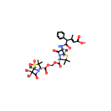 COC(=O)C=C(C)C(C(=O)N[C@@H]1C(=O)N2[C@@H]1SC(C)(C)[C@@H]2C(=O)OCOC(=O)[C@@H]1N2C(=O)C(Br)(Br)[C@H]2S(=O)(=O)C1(C)C)c1ccccc1